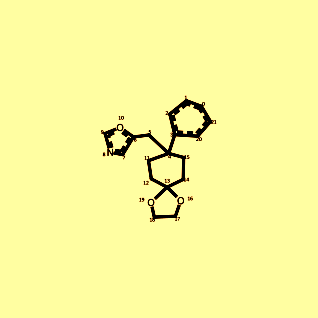 c1ccc(C2(Cc3cnco3)CCC3(CC2)OCCO3)cc1